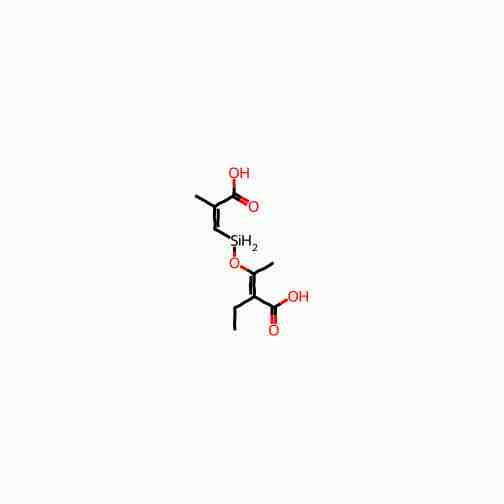 CCC(C(=O)O)=C(C)O[SiH2]C=C(C)C(=O)O